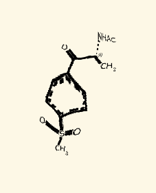 CC(=O)N[C@H](C)C(=O)c1ccc(S(C)(=O)=O)cc1